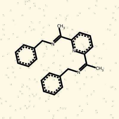 CC(=NCc1ccccc1)c1cccc(C(C)=NCc2ccccc2)n1